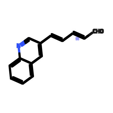 O=C/C=C/C=Cc1cnc2ccccc2c1